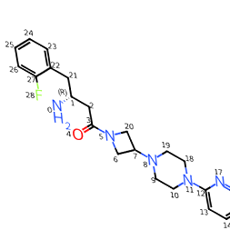 N[C@@H](CC(=O)N1CC(N2CCN(c3ccccn3)CC2)C1)Cc1ccccc1F